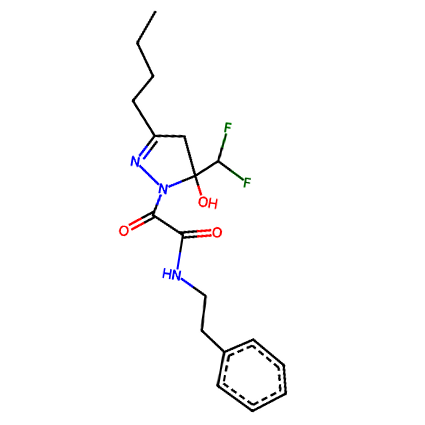 CCCCC1=NN(C(=O)C(=O)NCCc2ccccc2)C(O)(C(F)F)C1